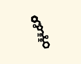 O=C(NCC1CC(=O)N(Cc2ccccc2)C1)NC1CCCCC1